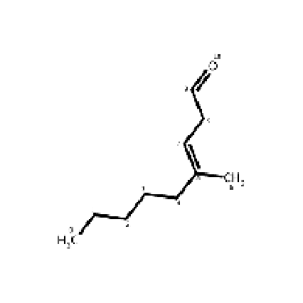 CCCCCC(C)=CCC=O